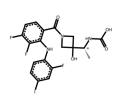 C[C@@H](NC(=O)O)C1(O)CN(C(=O)c2ccc(F)c(F)c2Nc2ccc(I)cc2F)C1